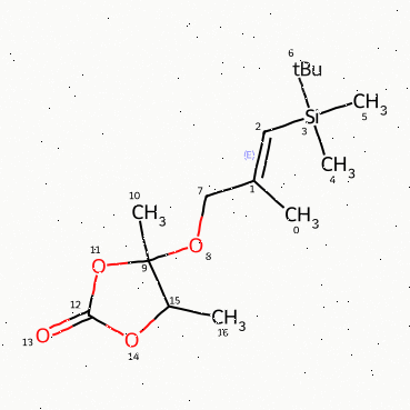 C/C(=C\[Si](C)(C)C(C)(C)C)COC1(C)OC(=O)OC1C